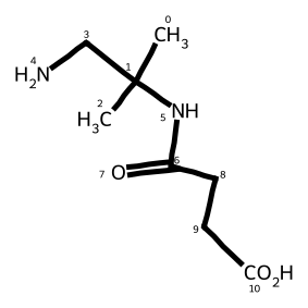 CC(C)(CN)NC(=O)CCC(=O)O